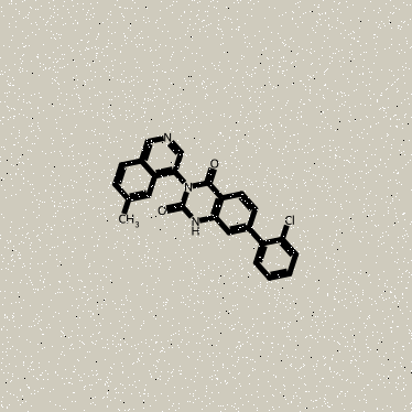 Cc1ccc2cncc(-n3c(=O)[nH]c4cc(-c5ccccc5Cl)ccc4c3=O)c2c1